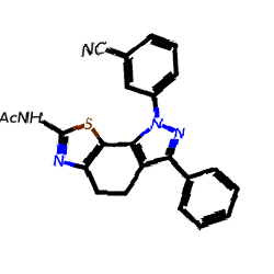 CC(=O)Nc1nc2c(s1)-c1c(c(-c3ccccc3)nn1-c1cccc(C#N)c1)CC2